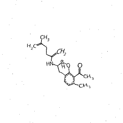 C=C(C)CCC(=C)NC1BOc2c(ccc(C)c2C(C)=O)C1